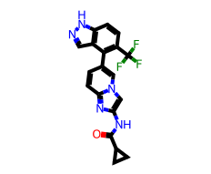 O=C(Nc1cn2cc(-c3c(C(F)(F)F)ccc4[nH]ncc34)ccc2n1)C1CC1